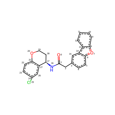 O=C(Cc1ccc2oc3ccccc3c2c1)N[C@@H]1CCOc2ccc(Cl)cc21